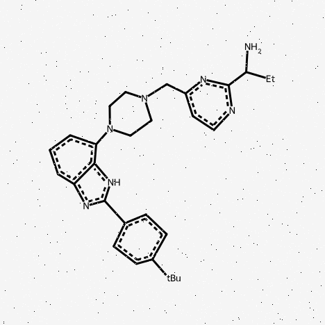 CCC(N)c1nccc(CN2CCN(c3cccc4nc(-c5ccc(C(C)(C)C)cc5)[nH]c34)CC2)n1